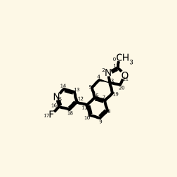 CC1=N[C@]2(CCc3c(cccc3-c3ccnc(F)c3)C2)CO1